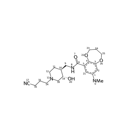 CNc1cc2c(c(C(=O)NC[C@@H]3CCN(CCCC#N)C[C@H]3O)c1)OCCCO2